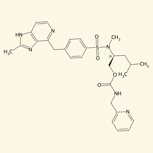 Cc1nc2c(Cc3ccc(S(=O)(=O)N(C)[C@H](COC(=O)NCc4ccccn4)CC(C)C)cc3)nccc2[nH]1